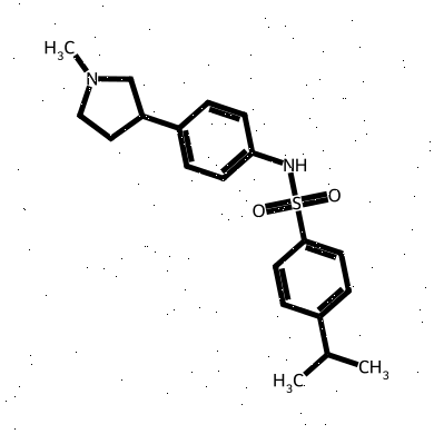 CC(C)c1ccc(S(=O)(=O)Nc2ccc(C3CCN(C)C3)cc2)cc1